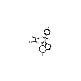 O=C(O)C(F)(F)F.O=S(=O)(c1ccc(F)cc1)n1cc2c3c(cccc31)CNCC2